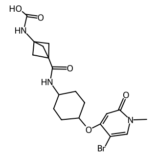 Cn1cc(Br)c(OC2CCC(NC(=O)C34CC(NC(=O)O)(C3)C4)CC2)cc1=O